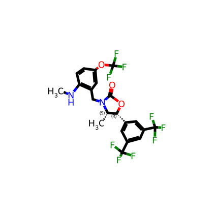 CNc1ccc(OC(F)(F)F)cc1CN1C(=O)O[C@H](c2cc(C(F)(F)F)cc(C(F)(F)F)c2)[C@@H]1C